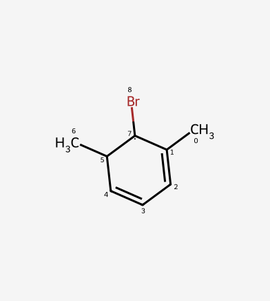 CC1=CC=CC(C)[C]1Br